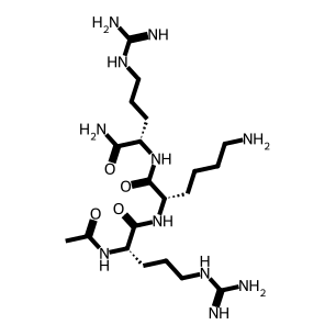 CC(=O)N[C@@H](CCCNC(=N)N)C(=O)N[C@@H](CCCCN)C(=O)N[C@@H](CCCNC(=N)N)C(N)=O